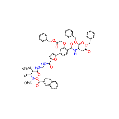 CCCCCC(C(=O)NCNC(=O)c1ccc(-c2ccc(C(=O)NC(CC(=O)OCc3ccccc3)C(=O)OCc3ccccc3)c(OCC(=O)OCc3ccccc3)c2)o1)C(CC)N(C=O)OC(=O)c1ccc2ccccc2c1